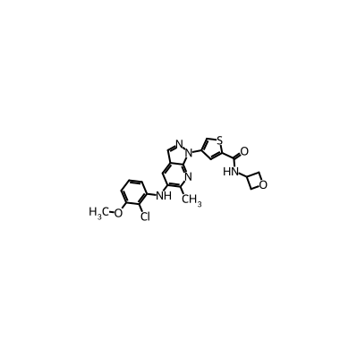 COc1cccc(Nc2cc3cnn(-c4csc(C(=O)NC5COC5)c4)c3nc2C)c1Cl